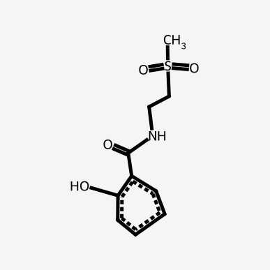 CS(=O)(=O)CCNC(=O)c1ccccc1O